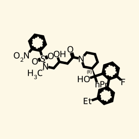 [CH2]CCC(O)(c1cccc(F)c1-c1cccc(CC)c1)[C@@H]1CCCN(C(=O)CC(O)CN(C)S(=O)(=O)c2ccccc2[N+](=O)[O-])C1